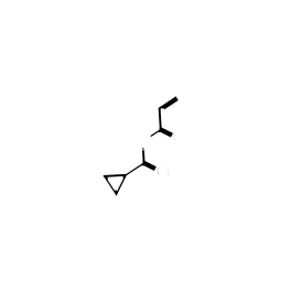 C=CC(=O)OC(=O)C1CC1